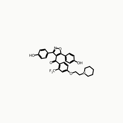 O=C(c1ccc(OCCN2CCCCC2)cc1C(F)(F)F)c1c(-c2ccc(O)cc2)noc1-c1ccc(O)cc1